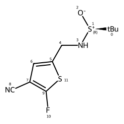 CC(C)(C)[S@+]([O-])NCc1cc(C#N)c(F)s1